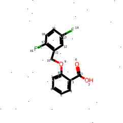 O=C(O)c1ccccc1OCc1cc(F)ccc1F